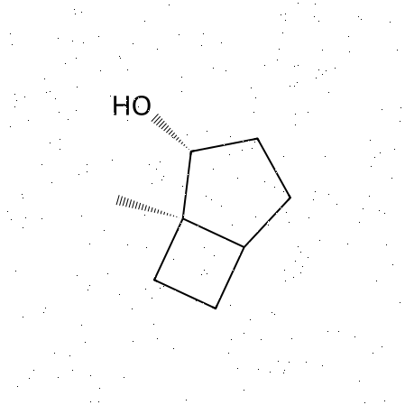 C[C@@]12CCC1CC[C@H]2O